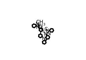 Cn1c2ccccc2n2c3cc(-c4cccc(-n5c6ccccc6c6ccc7c(nc8n(C)c9ccccc9n78)c65)c4)ccc3nc12